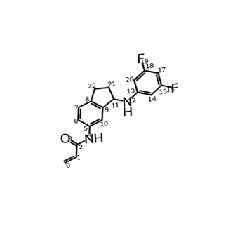 C=CC(=O)Nc1ccc2c(c1)C(Nc1cc(F)cc(F)c1)CC2